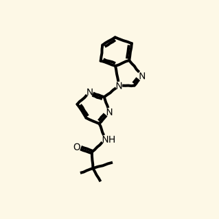 CC(C)(C)C(=O)Nc1ccnc(-n2cnc3ccccc32)n1